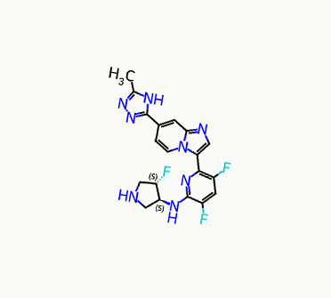 Cc1nnc(-c2ccn3c(-c4nc(N[C@H]5CNC[C@@H]5F)c(F)cc4F)cnc3c2)[nH]1